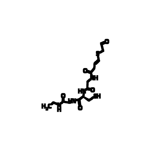 CCNC(=O)CNC(=O)[C@H](CS)NC(=O)CNC(=O)CC=CSCC=O